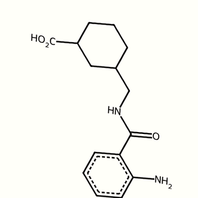 Nc1ccccc1C(=O)NCC1CCCC(C(=O)O)C1